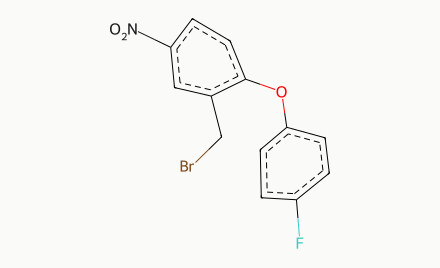 O=[N+]([O-])c1ccc(Oc2ccc(F)cc2)c(CBr)c1